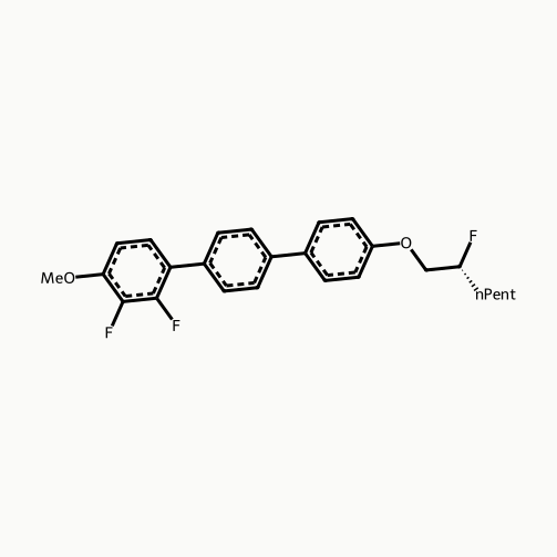 CCCCC[C@@H](F)COc1ccc(-c2ccc(-c3ccc(OC)c(F)c3F)cc2)cc1